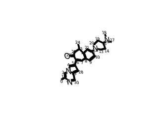 Cc1cn2cc(C3=Cc4ccc(N5CCC(N(C)C)CC5)cc4C(C)CC3=O)cc2cn1